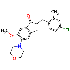 COc1cc2c(cc1N1CCOCC1)CC(Cc1ccc(Cl)cc1C)C2=O